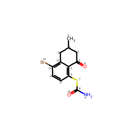 CC1CC(=O)c2c(SC(N)=O)ccc(Br)c2C1